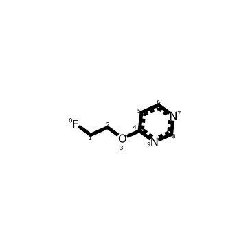 FCCOc1ccncn1